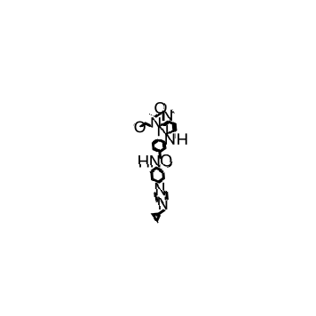 COCCN1c2nc(Nc3cccc(C(=O)N[C@H]4CC[C@H](N5CCN(CC6CC6)CC5)CC4)c3)ccc2N(C)C(=O)[C@H]1C